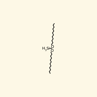 CCCCCCCCCCCCOC([SiH3])OCCCCCCCCCCCC